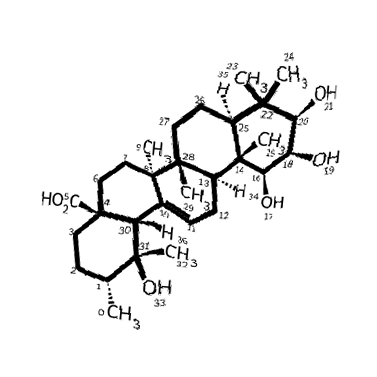 C[C@@H]1CC[C@]2(C(=O)O)CC[C@]3(C)C(=CC[C@@H]4[C@@]5(C)[C@H](O)[C@H](O)[C@H](O)C(C)(C)[C@@H]5CC[C@]43C)[C@@H]2[C@]1(C)O